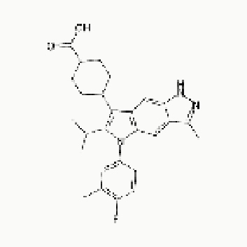 Cc1cc(-n2c(C(C)C)c(C3CCC(C(=O)O)CC3)c3cc4[nH]nc(C)c4cc32)ccc1F